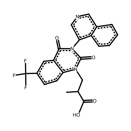 CC(Cn1c(=O)n(-c2cncc3ccccc23)c(=O)c2cc(C(F)(F)F)ccc21)C(=O)O